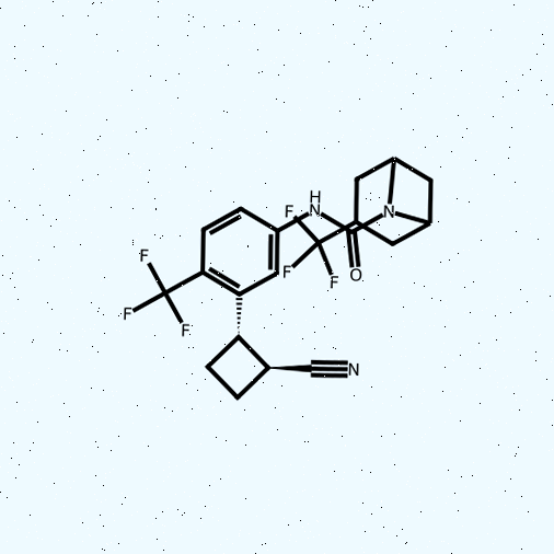 N#C[C@H]1CC[C@@H]1c1cc(NC(=O)N2C3CC2CC(C(F)(F)F)C3)ccc1C(F)(F)F